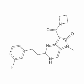 Cn1c2c(n(C(=O)N3CCC3)c1=O)=NC(CCc1cccc(F)c1)NC=2